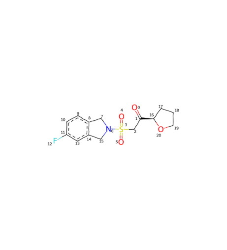 O=C(CS(=O)(=O)N1Cc2ccc(F)cc2C1)[C@H]1CCCO1